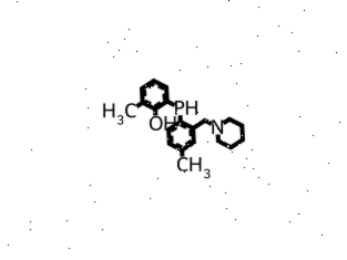 Cc1ccc(Pc2cccc(C)c2O)c(CN2CCCCC2)c1